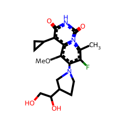 COc1c(N2CCC(C(O)CO)C2)c(F)c(C)n2c(=O)[nH]c(=O)c(C3CC3)c12